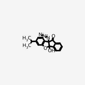 CC(C)c1ccc2c(c1)OC1(O)c3ccccc3C(=O)C21N=[N+]=[N-]